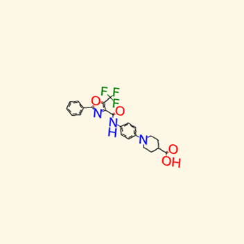 O=C(Nc1ccc(N2CCC(C(=O)O)CC2)cc1)c1nc(-c2ccccc2)oc1C(F)(F)F